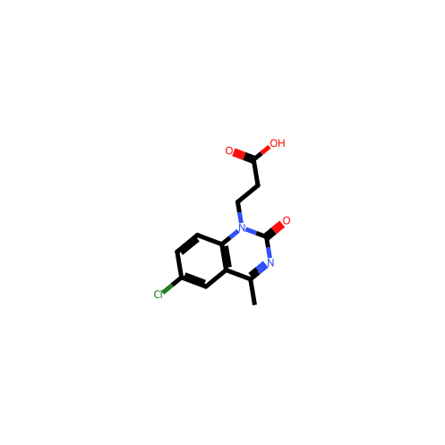 Cc1nc(=O)n(CCC(=O)O)c2ccc(Cl)cc12